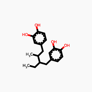 CCC(Cc1ccc(O)c(O)c1)C(C)Cc1ccc(O)c(O)c1